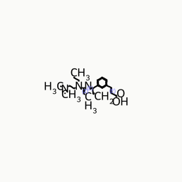 C=C/C(=N\C(=C/C)N(CCC)CCN(C)C)c1cccc(/C=C/C(=O)O)c1